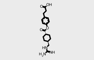 N=C(N)NC[C@H]1CC[C@H](C(=O)Oc2ccc(CCC(=O)O)cc2)CC1